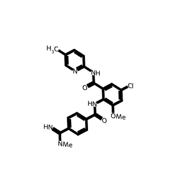 CNC(=N)c1ccc(C(=O)Nc2c(OC)cc(Cl)cc2C(=O)Nc2ccc(C)cn2)cc1